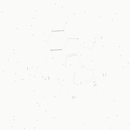 CS(=O)(=O)OC1Cc2c3c(cc(CO)c2C1OS(C)(=O)=O)C(=O)C=CC3=O.NC(=O)O